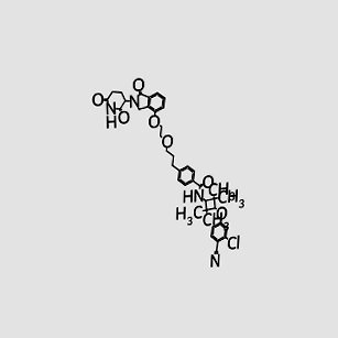 CC1(C)C(NC(=O)c2ccc(CCCOCCOc3cccc4c3CN(C3CCC(=O)NC3=O)C4=O)cc2)C(C)(C)C1Oc1ccc(C#N)c(Cl)c1